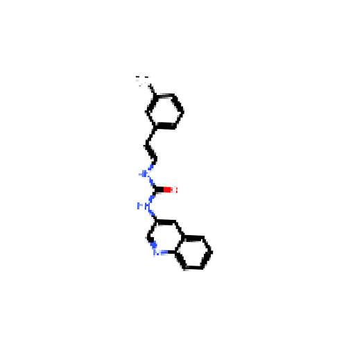 O=C(N/C=C/c1cccc(C(F)(F)F)c1)Nc1cnc2ccccc2c1